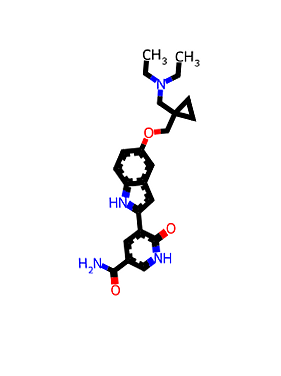 CCN(CC)CC1(COc2ccc3[nH]c(-c4cc(C(N)=O)c[nH]c4=O)cc3c2)CC1